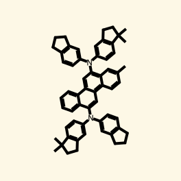 Cc1ccc2c(c1)c(N(c1ccc3c(c1)CCC3)c1ccc3c(c1)CCC3(C)C)cc1c3ccccc3c(N(c3ccc4c(c3)CCC4)c3ccc4c(c3)CCC4(C)C)cc21